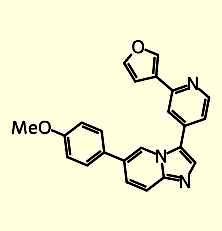 COc1ccc(-c2ccc3ncc(-c4ccnc(-c5ccoc5)c4)n3c2)cc1